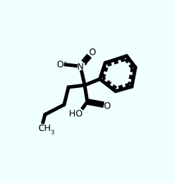 CCCCC(C(=O)O)(c1ccccc1)[N+](=O)[O-]